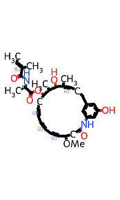 C/C=C(\C)C(=O)N[C@H](C)C(=O)OC1C\C=C/C=C\C=C/C(OC)CC(=O)Nc2cc(O)cc(c2)CC/C=C(/C)C(O)C1C